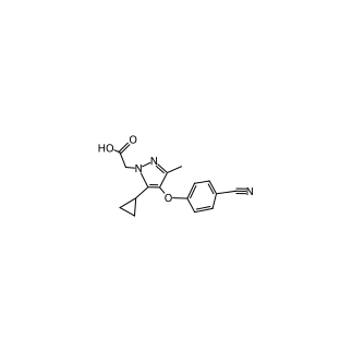 Cc1nn(CC(=O)O)c(C2CC2)c1Oc1ccc(C#N)cc1